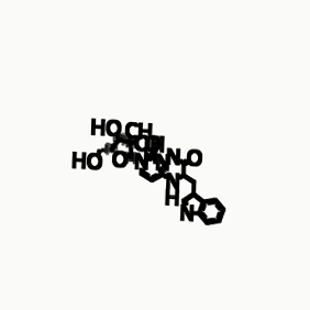 C[C@@]1(O)[C@H](O)[C@@H](CO)O[C@H]1n1ccc(NC(CC2C=Nc3ccccc32)C(N)=O)nc1=O